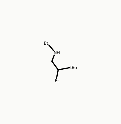 CCNCC(CC)C(C)(C)C